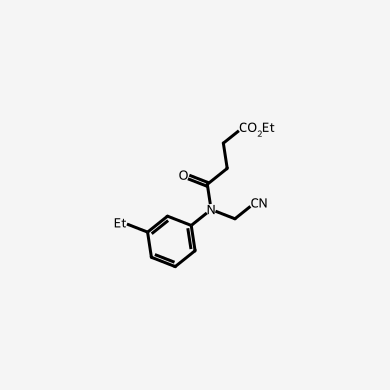 CCOC(=O)CCC(=O)N(CC#N)c1cccc(CC)c1